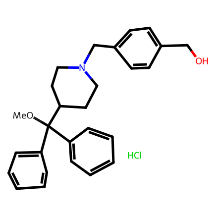 COC(c1ccccc1)(c1ccccc1)C1CCN(Cc2ccc(CO)cc2)CC1.Cl